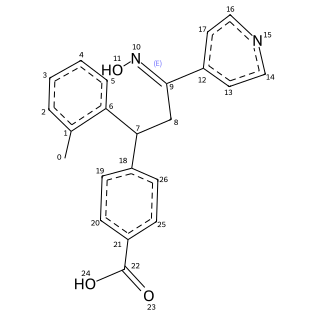 Cc1ccccc1C(C/C(=N\O)c1ccncc1)c1ccc(C(=O)O)cc1